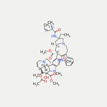 C/C=C\C(=C/C)C(=O)NC1(CC)C[C@H]2CN(CCc3c([nH]c4ccccc34)[C@@](C(=O)OC)(c3cc4c(cc3OC)N(C)C3[C@]45CCN4CC=C[C@@](CC)([C@@H](OC(C)=O)[C@]3(O)C(=O)OC)[C@H]45)C2)C1